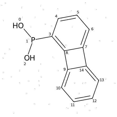 OP(O)c1cccc2c1-c1ccccc1-2